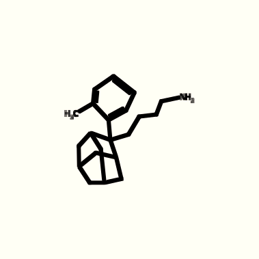 Cc1ccccc1C1(CCCCN)C2CC3CC(C2)CC1C3